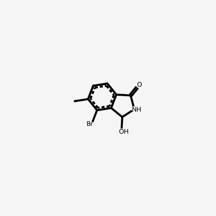 Cc1ccc2c(c1Br)C(O)NC2=O